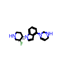 F[C@@H]1CNCC[C@@H]1n1ccc2c(N3C=CCNC3)cccc21